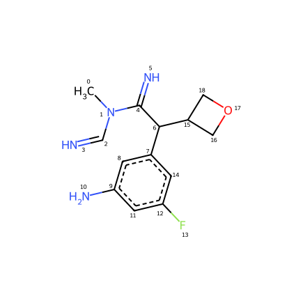 CN(C=N)C(=N)C(c1cc(N)cc(F)c1)C1COC1